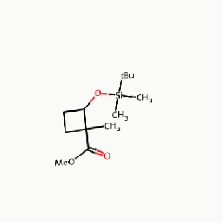 COC(=O)C1(C)CCC1O[Si](C)(C)C(C)(C)C